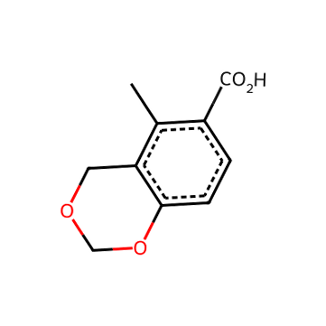 Cc1c(C(=O)O)ccc2c1COCO2